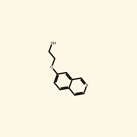 OCCOc1ccc2ccncc2c1